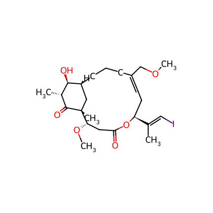 COC/C1=C/C[C@@H](/C(C)=C/I)OC(=O)C[C@H](OC)[C@@]2(C)C[C@@H](CCC1)[C@H](O)[C@@H](C)C2=O